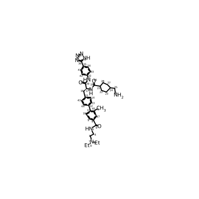 CCN(CC)CCNC(=O)c1ccc(-c2ccc(C[C@H](NC(=O)C3CCC(CN)CC3)C(=O)Nc3ccc(-c4nnn[nH]4)cc3)cc2)c(C)c1